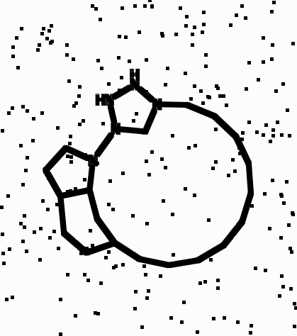 C1CCCCCN2CN(NN2)N2CCC3CCC(CCCC1)CC32